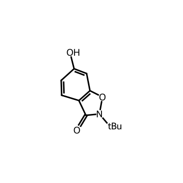 CC(C)(C)n1oc2cc(O)ccc2c1=O